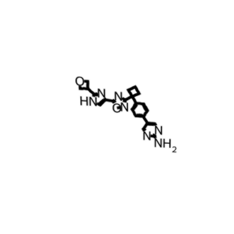 Nc1ncc(-c2ccc(C3(c4noc(-c5c[nH]c(C6COC6)n5)n4)CCC3)cc2)cn1